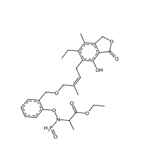 CCOC(=O)C(C)N(Oc1ccccc1COCC(C)=CCc1c(O)c2c(c(C)c1CC)COC2=O)[PH2]=O